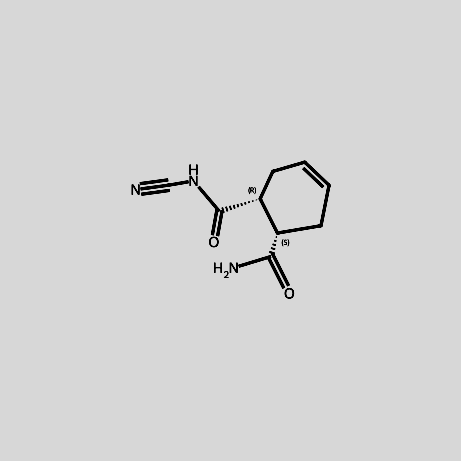 N#CNC(=O)[C@@H]1CC=CC[C@@H]1C(N)=O